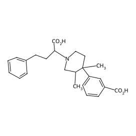 CC1CN(C(CCc2ccccc2)C(=O)O)CCC1(C)c1cccc(C(=O)O)c1